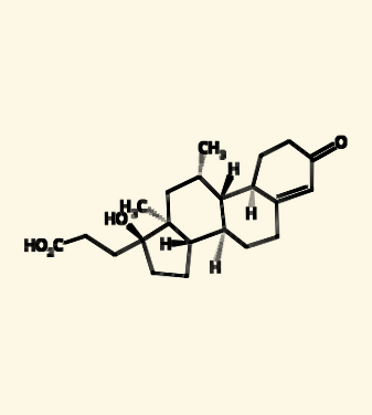 C[C@H]1C[C@@]2(C)[C@@H](CC[C@]2(O)CCC(=O)O)[C@@H]2CCC3=CC(=O)CC[C@@H]3[C@H]21